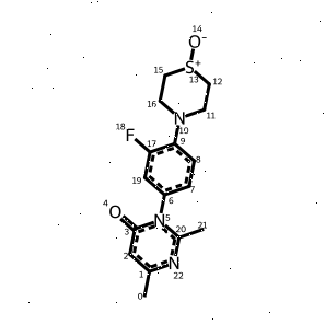 Cc1cc(=O)n(-c2ccc(N3CC[S+]([O-])CC3)c(F)c2)c(C)n1